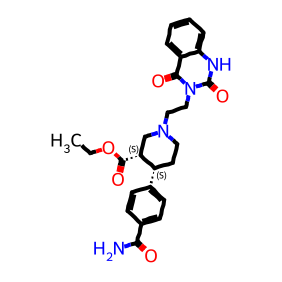 CCOC(=O)[C@@H]1CN(CCn2c(=O)[nH]c3ccccc3c2=O)CC[C@@H]1c1ccc(C(N)=O)cc1